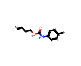 [CH2]c1ccc(NC(=O)OCCC=C)cc1